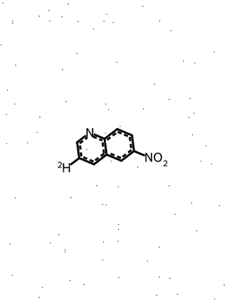 [2H]c1cnc2ccc([N+](=O)[O-])cc2c1